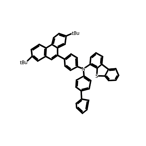 CC(C)(C)c1ccc2c(c1)cc(-c1ccc(N(c3ccc(-c4ccccc4)cc3)c3cccc4c3sc3ccccc34)cc1)c1cc(C(C)(C)C)ccc12